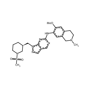 COc1cc2c(cc1Nc1ncc3cnn(C[C@@H]4CCCN(S(C)(=O)=O)C4)c3n1)CN(C)CC2